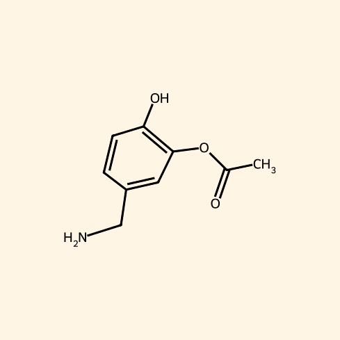 CC(=O)Oc1cc(CN)ccc1O